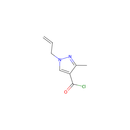 C=CCn1cc(C(=O)Cl)c(C)n1